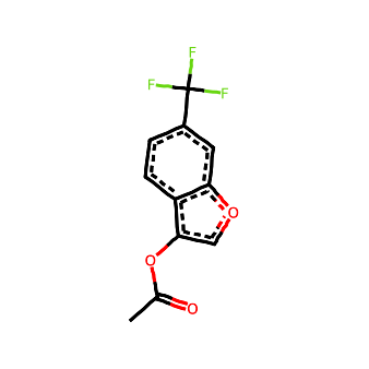 CC(=O)Oc1coc2cc(C(F)(F)F)ccc12